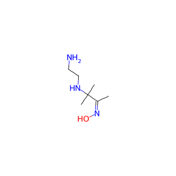 CC(=NO)C(C)(C)NCCN